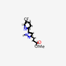 COC(=O)CCc1cc(-c2ccc(C(F)(F)F)cn2)n(C)n1